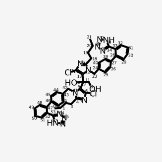 CCCCc1nc(Cl)c(C(O)(CO)c2c(Cl)nc(CCCC)n2Cc2ccc(-c3ccccc3-c3nnn[nH]3)cc2)n1Cc1ccc(-c2ccccc2-c2nnn[nH]2)cc1